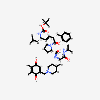 CC1=C(C)C(=O)C(CN2CCC(C[C@H](NC(=O)[C@@H]3CCCN3C(=O)[C@H](/C=C/[C@H](CC(C)C)NC(=O)OC(C)(C)C)Cc3ccccc3)C(=O)NC(C)C)CC2)=CC1=O